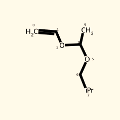 C=COC(C)OCC(C)C